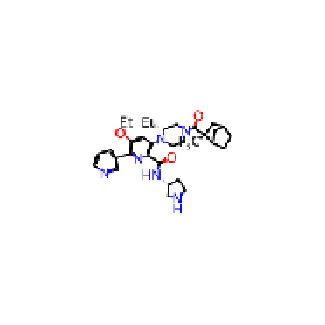 CCOc1cc(N2CCN(C(=O)C3(C(F)(F)F)CC4CCC3C4)C[C@H]2CC)c(C(=O)N[C@@H]2CCNC2)nc1-c1cccnc1